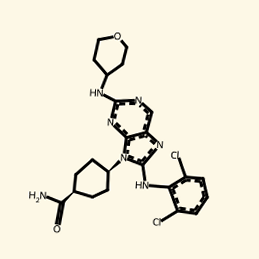 NC(=O)[C@H]1CC[C@@H](n2c(Nc3c(Cl)cccc3Cl)nc3cnc(NC4CCOCC4)nc32)CC1